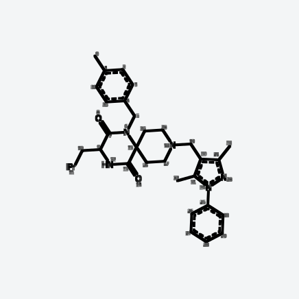 Cc1ccc(CN2C(=O)C(CC(C)C)NC(=O)C23CCN(Cc2c(C)nn(-c4ccccc4)c2C)CC3)cc1